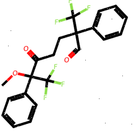 COC(C(=O)CCC([C]=O)(c1ccccc1)C(F)(F)F)(c1ccccc1)C(F)(F)F